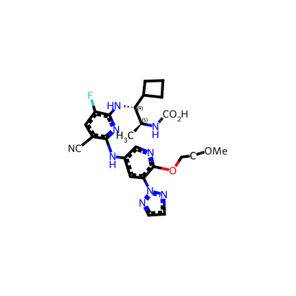 COCCOc1ncc(Nc2nc(N[C@H](C3CCC3)[C@H](C)NC(=O)O)c(F)cc2C#N)cc1-n1nccn1